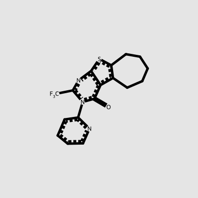 O=c1c2c3c(sc2nc(C(F)(F)F)n1-c1ccccn1)CCCCC3